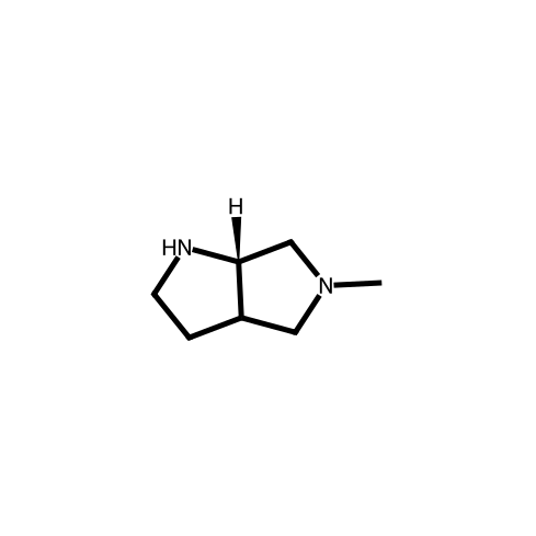 CN1CC2CCN[C@@H]2C1